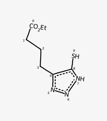 CCOC(=O)CCCc1nn[nH]c1S